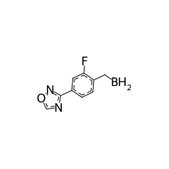 BCc1ccc(-c2ncon2)cc1F